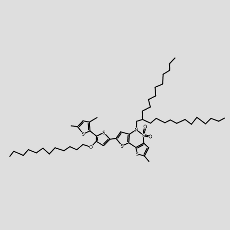 CCCCCCCCCCCCOc1cc(-c2cc3c(s2)-c2sc(C)cc2S(=O)(=O)N3CC(CCCCCCCCCC)CCCCCCCCCCCC)sc1-c1sc(C)cc1C